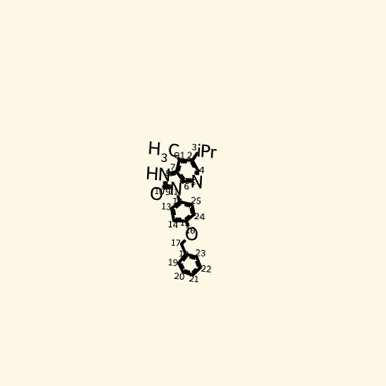 Cc1c(C(C)C)cnc2c1[nH]c(=O)n2-c1ccc(OCc2ccccc2)cc1